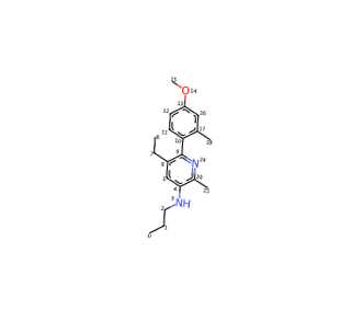 CCCNc1cc(CC)c(-c2ccc(OC)cc2C)nc1C